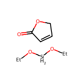 CCO[SiH2]OCC.O=C1C=CCO1